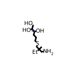 CCC(C)(CN)CSCCC/C(O)=C(\O)CO